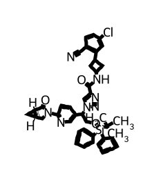 CC(C)(C)[Si](OCC(c1ccc(N2C[C@H]3C[C@H]3C2=O)nc1)n1cc(C(=O)NC2CC(c3cc(Cl)ccc3C#N)C2)nn1)(c1ccccc1)c1ccccc1